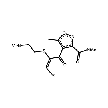 CNCCS/C(=C/C(C)=O)C(=O)c1c(C(=O)NC)noc1C